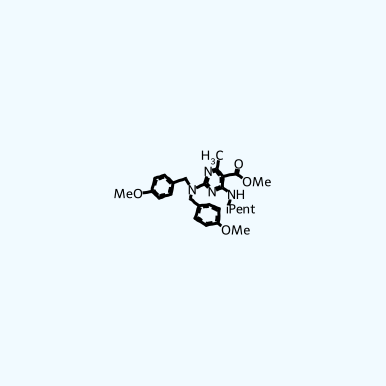 CCCC(C)Nc1nc(N(Cc2ccc(OC)cc2)Cc2ccc(OC)cc2)nc(C)c1C(=O)OC